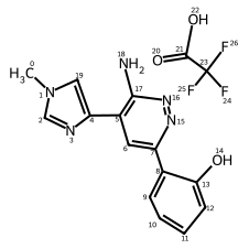 Cn1cnc(-c2cc(-c3ccccc3O)nnc2N)c1.O=C(O)C(F)(F)F